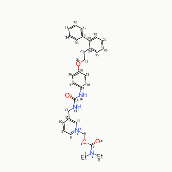 CCN(CC)C(=O)OC[n+]1cccc(CNC(=O)Nc2ccc(OCCc3ccccc3-c3ccccc3)cc2)c1